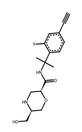 C#Cc1ccc(C(C)(C)NC(=O)[C@@H]2CN[C@H](CO)CO2)c(F)c1